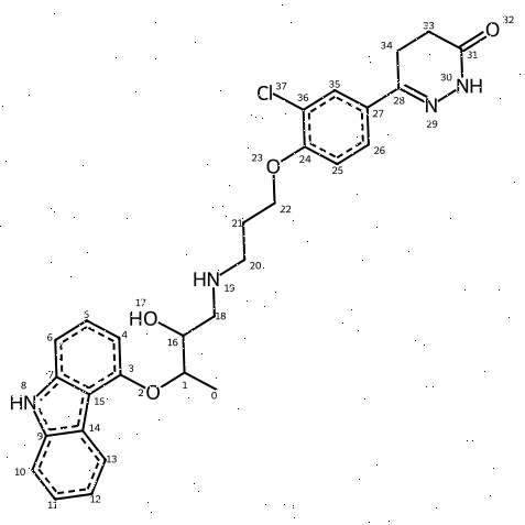 CC(Oc1cccc2[nH]c3ccccc3c12)C(O)CNCCCOc1ccc(C2=NNC(=O)CC2)cc1Cl